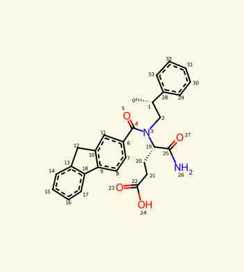 C[C@@H](CN(C(=O)c1ccc2c(c1)Cc1ccccc1-2)[C@@H](CCC(=O)O)C(N)=O)c1ccccc1